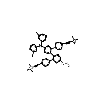 Cc1cccc(N(c2cccc(C)c2)c2ccc(-c3ccc(N)cc3-c3ccc(C#C[Si](C)(C)C)cc3)c(-c3ccc(C#C[Si](C)(C)C)cc3)c2)c1